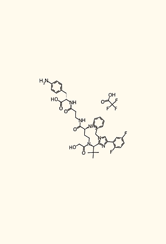 CC(C)(C)[C@H](c1nc(-c2cc(F)ccc2F)cn1Cc1ccccc1)N(CC[C@H](N)C(=O)NCCC(=O)N[C@@H](Cc1ccc(N)cc1)C(=O)O)C(=O)CO.O=C(O)C(F)(F)F